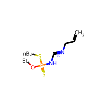 C=CC/N=C/NP(=S)(OCC)SCCCC